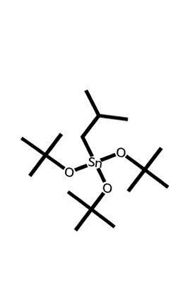 CC(C)[CH2][Sn]([O]C(C)(C)C)([O]C(C)(C)C)[O]C(C)(C)C